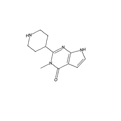 Cn1c(C2CCNCC2)nc2[nH]ccc2c1=O